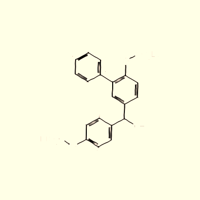 CCOC(=O)Oc1ccc(C(C)c2ccc(OC(=O)OCC)c(-c3ccccc3)c2)cc1